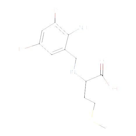 CSCCC(NCc1cc(Br)cc(Br)c1N)C(=O)O